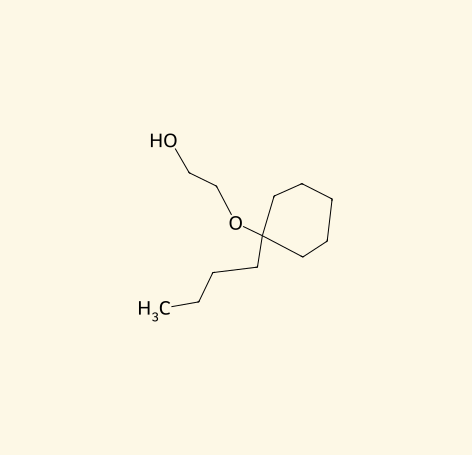 CCCCC1(OCCO)CCCCC1